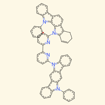 C1=Cc2c(c3ccc4c5ccccc5n(-c5ccccc5)c4c3n2-c2cccc(-c3cccc(-n4c5ccccc5c5cc6c(cc54)c4ccccc4n6-c4ccccc4)n3)n2)CC1